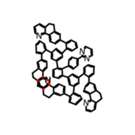 c1cnc(-c2ccc(-c3c(-c4cc(-c5ccccc5-c5ccc6c(c5)CCc5cccnc5-6)cc(-c5ccccc5-c5ccc6c(c5)CCc5cccnc5-6)c4)cccc3-c3cc(-c4ccccc4-c4ccc5c(c4)CCc4cccnc4-5)cc(-c4ccccc4-c4ccc5c(c4)CCc4cccnc4-5)c3)cc2)nc1